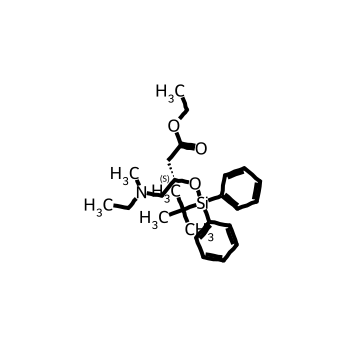 CCOC(=O)C[C@@H](CN(C)CC)O[Si](c1ccccc1)(c1ccccc1)C(C)(C)C